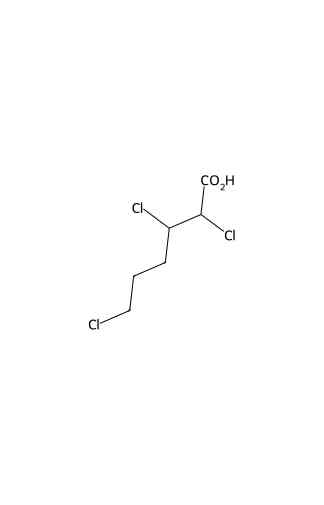 O=C(O)C(Cl)C(Cl)CCCCl